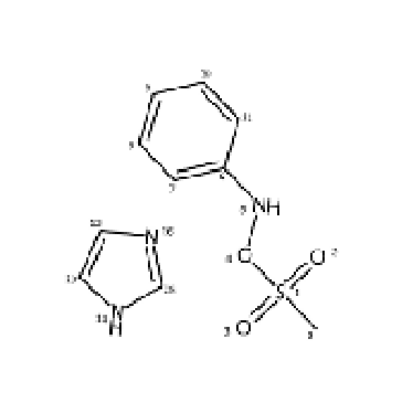 CS(=O)(=O)ONc1ccccc1.c1c[nH]cn1